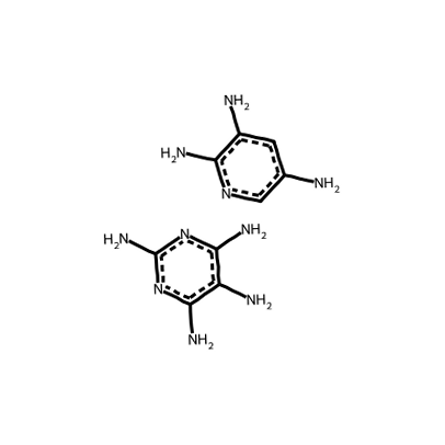 Nc1cnc(N)c(N)c1.Nc1nc(N)c(N)c(N)n1